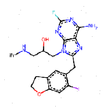 CC(C)NCC(O)Cn1c(Cc2cc3c(cc2I)OCC3)nc2c(N)nc(F)nc21